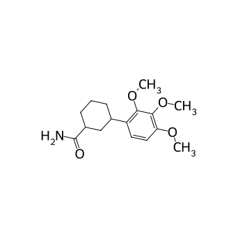 COc1ccc(C2CCCC(C(N)=O)C2)c(OC)c1OC